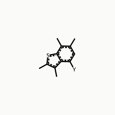 Cc1c[c]([Y])c2c(C)c(C)sc2c1C